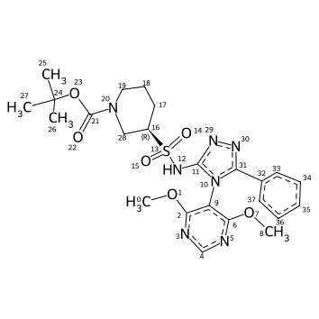 COc1ncnc(OC)c1-n1c(NS(=O)(=O)[C@@H]2CCCN(C(=O)OC(C)(C)C)C2)nnc1-c1ccccc1